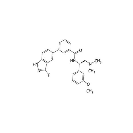 COc1cccc([C@H](CN(C)C)NC(=O)c2cccc(-c3ccc4[nH]nc(F)c4c3)c2)c1